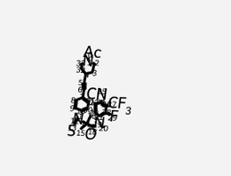 CC(=O)N1CCC(C#Cc2ccc(N(C=S)C(C)(C)C(=O)N(C)c3ccc(C#N)c(C(F)(F)F)c3F)cc2)CC1